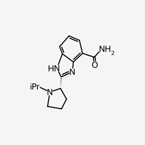 CC(C)N1CCC[C@H]1c1nc2c(C(N)=O)cccc2[nH]1